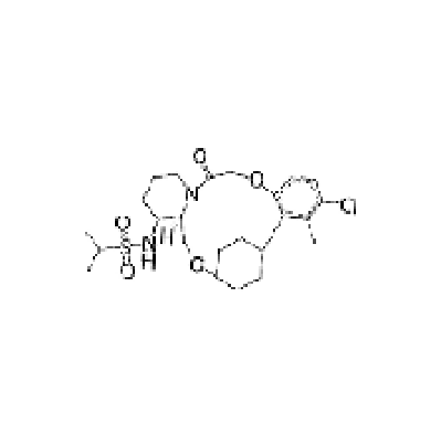 Cc1c(Cl)ccc2c1C1CCC(CC1)OC[C@H]1C(NS(=O)(=O)C(C)C)CCCN1C(=O)CO2